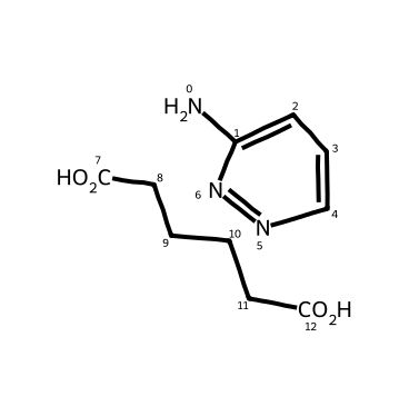 Nc1cccnn1.O=C(O)CCCCC(=O)O